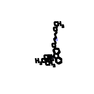 CCOCC/C=C/COc1ccc2c(c1)/C(=N/OC(C)(C)C)c1ccccc1-2